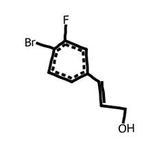 OCC=Cc1ccc(Br)c(F)c1